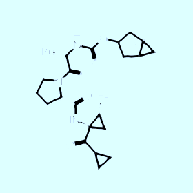 CC[C@@H]1C[C@]1(NC(=O)[C@@H]1CCCN1C(=O)[C@@H](NC(=O)OC1CC2C[C@@H]2C1)C(C)(C)C)C(=O)C1CC1